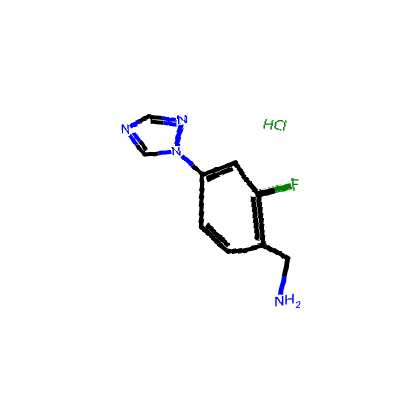 Cl.NCc1ccc(-n2cncn2)cc1F